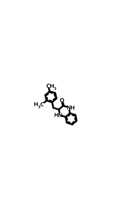 Cc1ccc(CC2Nc3ccccc3NC2=O)c(C)c1